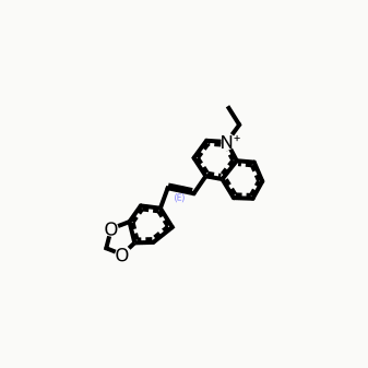 CC[n+]1ccc(/C=C/c2ccc3c(c2)OCO3)c2ccccc21